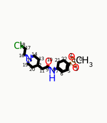 CS(=O)(=O)C1=CC=C(NC(=O)CC2CCN(CCCl)CC2)CC1